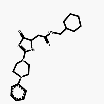 O=C(CC1NC(N2CCN(c3ccccc3)CC2)=NC1=O)NCC1CCCCC1